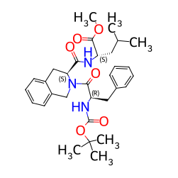 COC(=O)[C@H](CC(C)C)NC(=O)[C@@H]1Cc2ccccc2CN1C(=O)[C@@H](Cc1ccccc1)NC(=O)OC(C)(C)C